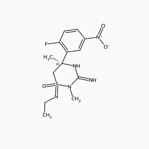 CCN=S1(=O)C[C@@](C)(c2cc([N+](=O)[O-])ccc2F)NC(=N)N1C